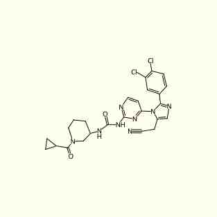 N#CCc1cnc(-c2ccc(Cl)c(Cl)c2)n1-c1ccnc(NC(=O)NC2CCCN(C(=O)C3CC3)C2)n1